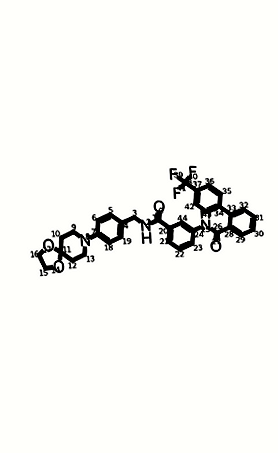 O=C(NCc1ccc(N2CCC3(CC2)OCCO3)cc1)c1cccc(NC(=O)c2ccccc2-c2ccc(C(F)(F)F)cc2)c1